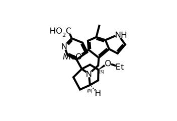 CCO[C@H]1C[C@H]2CCC(c3ccc(C(=O)O)nc3)(C1)N2Cc1c(OC)cc(C)c2[nH]ccc12